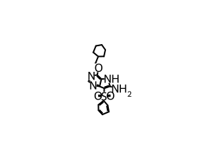 Nc1[nH]c2c(OCC3CCCCC3)ncnc2c1S(=O)(=O)c1ccccc1